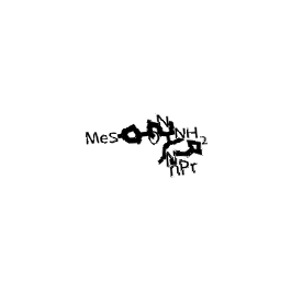 CCCN(CCC1CCC1)C(C)/C=C(\C=C/N)c1ccnc2cc(-c3ccc(SC)cc3)oc12